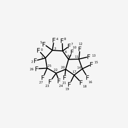 FC1(F)C(F)(F)C(F)(F)C2(F)C(F)(F)C(F)(F)C(F)(F)C2(F)C(F)(F)C1(F)F